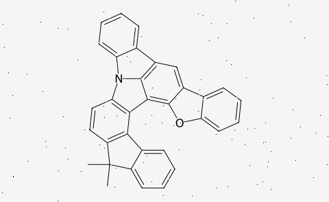 CC1(C)c2ccccc2-c2c1ccc1c2c2c3oc4ccccc4c3cc3c4ccccc4n1c32